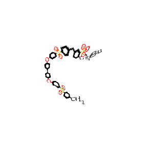 Cc1ccc(S(=O)(=O)c2ccc(Oc3ccc(-c4ccc(Oc5ccc(S(=O)(=O)c6ccc(Cc7ccc(C)c(S(=O)(=O)OCC(C)(C)C)c7)cc6)cc5)cc4)cc3)cc2)cc1